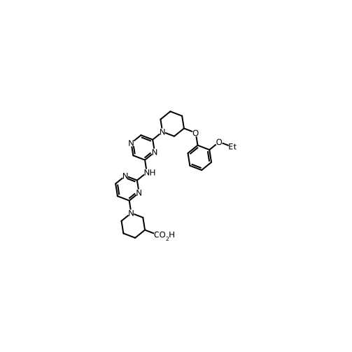 CCOc1ccccc1OC1CCCN(c2cncc(Nc3nccc(N4CCCC(C(=O)O)C4)n3)n2)C1